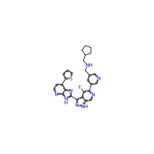 Fc1c(-c2cncc(CNCC3CCCC3)c2)ncc2[nH]nc(-c3nc4c(-c5cccs5)ccnc4[nH]3)c12